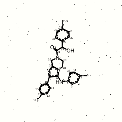 Cc1ccc(Nc2c(-c3ccc(F)cc3)nc3n2CCN(C(=O)C(O)c2ccc(F)cc2)C3)cc1